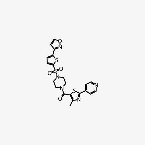 Cc1nc(-c2ccncc2)sc1C(=O)N1CCN(S(=O)(=O)c2ccc(-c3ccon3)s2)CC1